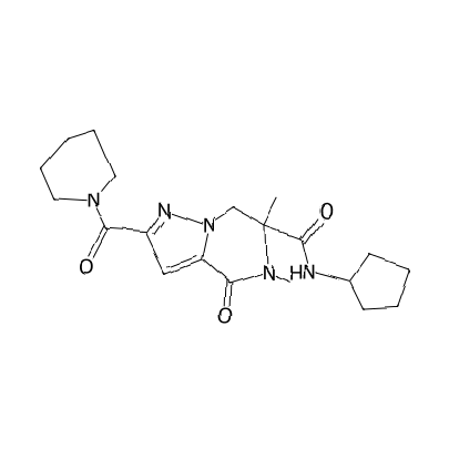 CN1C(=O)c2cc(C(=O)N3CCCCC3)nn2CC1(C)C(=O)NC1CCCC1